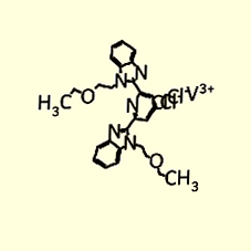 CCOCCn1c(-c2cccc(-c3nc4ccccc4n3CCOCC)n2)nc2ccccc21.[Cl-].[Cl-].[Cl-].[V+3]